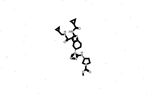 COC(=O)N1CC[C@H](Nc2nncn2[C@H]2CCc3sc(NC(=O)C4CC4)c(C(=O)NCC4CC4)c3C2)C1